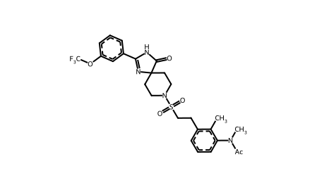 CC(=O)N(C)c1cccc(CCS(=O)(=O)N2CCC3(CC2)N=C(c2cccc(OC(F)(F)F)c2)NC3=O)c1C